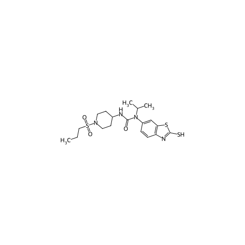 CCCS(=O)(=O)N1CCC(NC(=O)N(c2ccc3nc(S)sc3c2)C(C)C)CC1